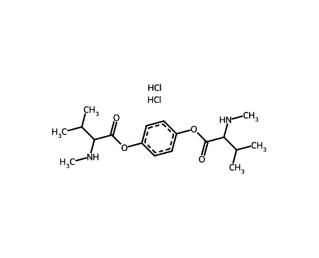 CNC(C(=O)Oc1ccc(OC(=O)C(NC)C(C)C)cc1)C(C)C.Cl.Cl